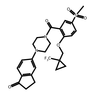 CS(=O)(=O)c1ccc(OCC2(C(F)(F)F)CC2)c(C(=O)N2CCN(c3ccc4c(c3)CCC4=O)CC2)c1